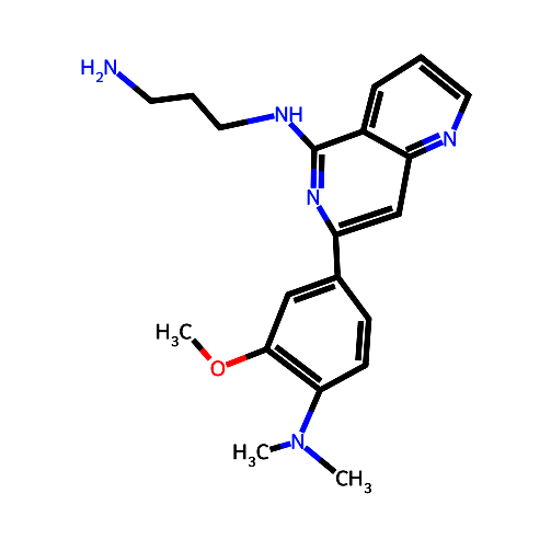 COc1cc(-c2cc3ncccc3c(NCCCN)n2)ccc1N(C)C